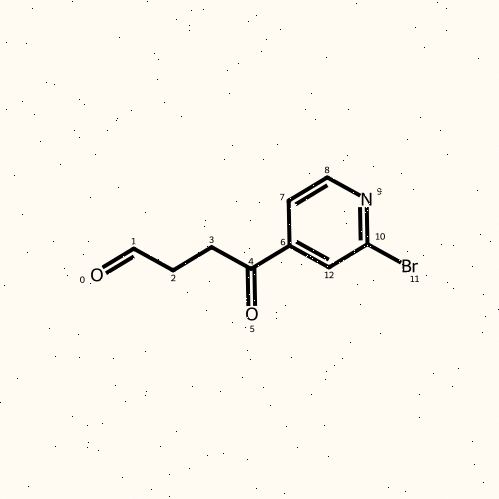 O=CCCC(=O)c1ccnc(Br)c1